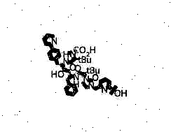 CN(C(=O)O)[C@H](C(=O)N[C@@H](Cc1ccc(-c2ccccn2)cc1)[C@@H](O)C[C@H](Cc1ccccc1)NC(=O)[C@@H](N1CCN(Cc2cccc(C(C)(C)O)n2)C1=O)C(C)(C)C)C(C)(C)C